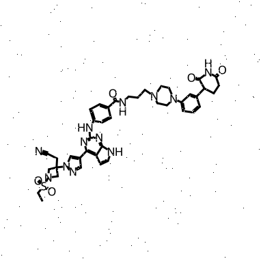 CCS(=O)(=O)N1CC(CC#N)(n2cc(-c3nc(Nc4ccc(C(=O)NCCCN5CCN(c6cccc(C7CCC(=O)NC7=O)c6)CC5)cc4)nc4[nH]ccc34)cn2)C1